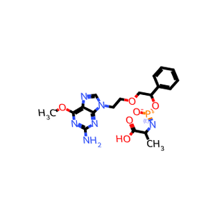 COc1nc(N)nc2c1ncn2CCOCC(O/[P+]([O-])=N/C(C)C(=O)O)c1ccccc1